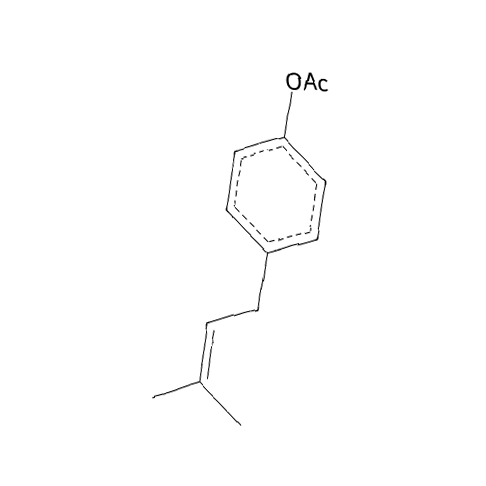 CC(=O)Oc1ccc(CC=C(C)C)cc1